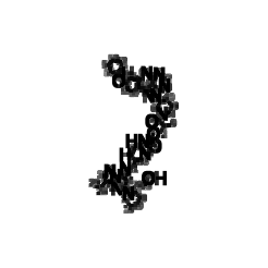 C=C(COC(=O)Nc1ccc(CNc2cc(N3CCCC[C@H]3CCO)nc3c(CC)cnn23)cn1)C(=O)N1CCC[C@H](n2nc(-c3ccc(Oc4ccccc4)cc3)c3c(N)ncnc32)C1